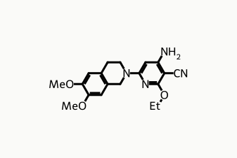 CCOc1nc(N2CCc3cc(OC)c(OC)cc3C2)cc(N)c1C#N